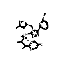 COc1cccc(-c2nnc(NS(=O)(=O)C(C)C(C)c3ncc(Cl)cn3)n2Cc2cc(C)no2)n1